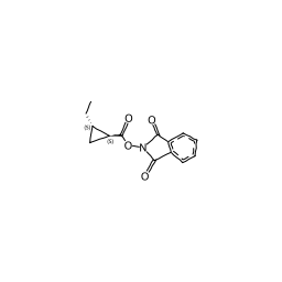 CC[C@H]1C[C@@H]1C(=O)ON1C(=O)c2ccccc2C1=O